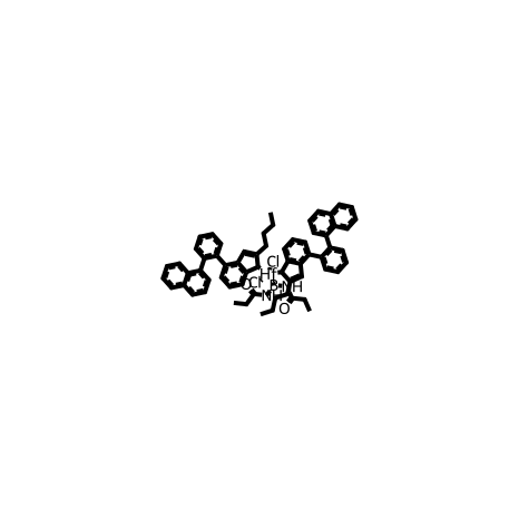 CCCCC1=Cc2c(-c3ccccc3-c3cccc4ccccc34)cccc2[CH]1[Hf]([Cl])([Cl])([B](NC(=O)CC)NC(=O)CC)[CH]1C(CCCC)=Cc2c(-c3ccccc3-c3cccc4ccccc34)cccc21